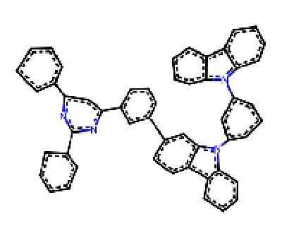 c1ccc(-c2cc(-c3cccc(-c4ccc5c6ccccc6n(-c6cccc(-n7c8ccccc8c8ccccc87)c6)c5c4)c3)nc(-c3ccccc3)n2)cc1